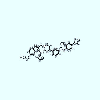 O=C(O)c1ccc2nc(CN3CCC(c4cccc(OCc5ccc(C6COC6)cc5Cl)n4)CC3)n(C[C@@H]3CCO3)c2c1